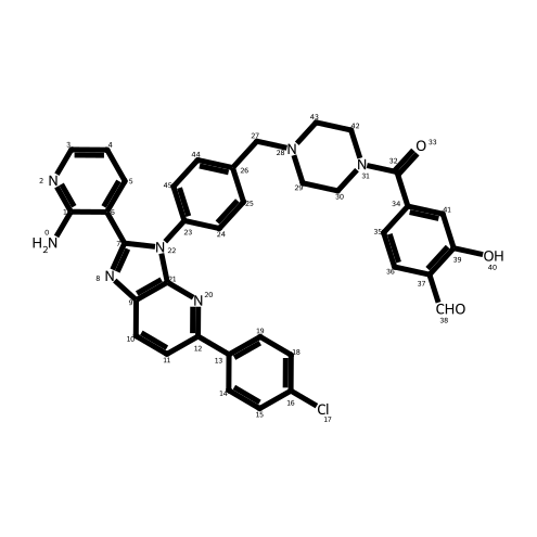 Nc1ncccc1-c1nc2ccc(-c3ccc(Cl)cc3)nc2n1-c1ccc(CN2CCN(C(=O)c3ccc(C=O)c(O)c3)CC2)cc1